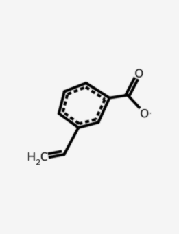 C=Cc1cccc(C([O])=O)c1